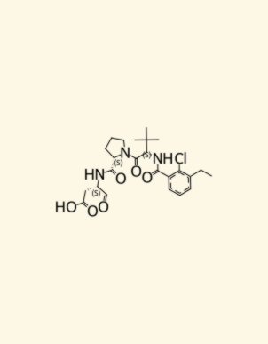 CCc1cccc(C(=O)N[C@H](C(=O)N2CCC[C@H]2C(=O)N[C@H](C=O)CC(=O)O)C(C)(C)C)c1Cl